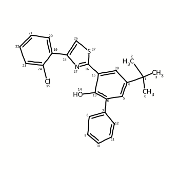 CC(C)(C)c1cc(-c2ccccc2)c(O)c(-c2nc(-c3ccccc3Cl)cs2)c1